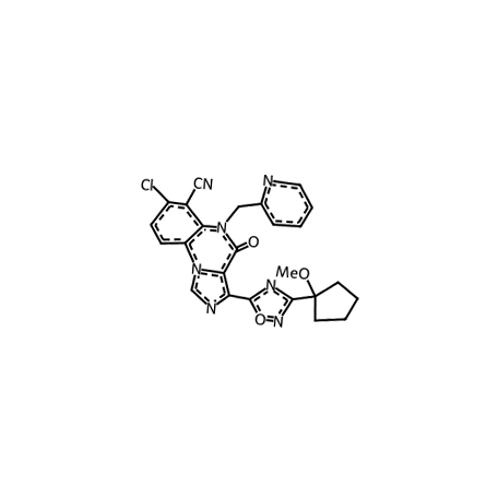 COC1(c2noc(-c3ncn4c3c(=O)n(Cc3ccccn3)c3c(C#N)c(Cl)ccc34)n2)CCCC1